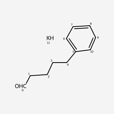 O=CCCCCc1ccccc1.[KH]